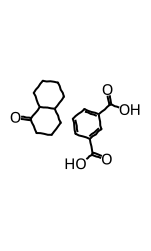 O=C(O)c1cccc(C(=O)O)c1.O=C1CCCC2CCCCC12